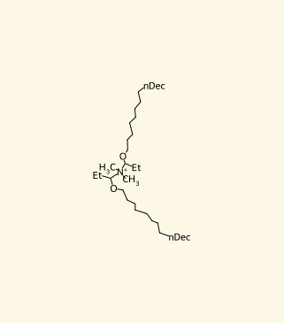 CCCCCCCCCCCCCCCCCCOC(CC)[N+](C)(C)C(CC)OCCCCCCCCCCCCCCCCCC